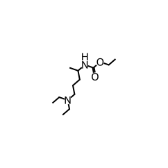 CCOC(=O)NC(C)CCCN(CC)CC